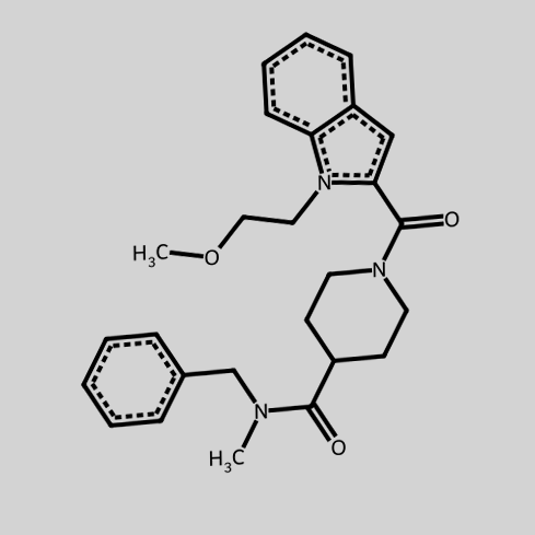 COCCn1c(C(=O)N2CCC(C(=O)N(C)Cc3ccccc3)CC2)cc2ccccc21